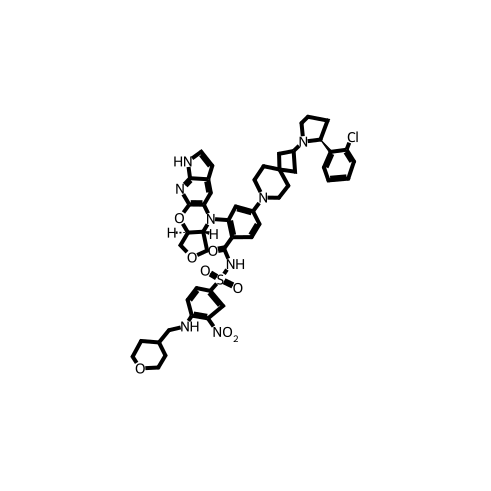 O=C(NS(=O)(=O)c1ccc(NCC2CCOCC2)c([N+](=O)[O-])c1)c1ccc(N2CCC3(CC2)CC(N2CCC[C@H]2c2ccccc2Cl)C3)cc1N1c2cc3cc[nH]c3nc2O[C@@H]2COC[C@H]21